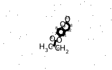 C=C(C)C(=O)Oc1ccc2c(c1)CCC(=O)O2